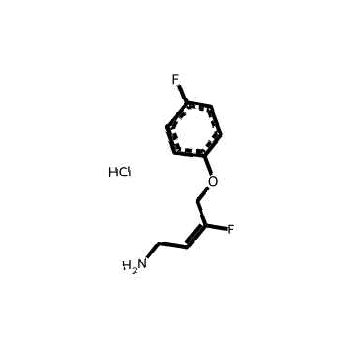 Cl.NC/C=C(/F)COc1ccc(F)cc1